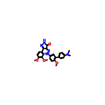 COc1ccc(C2=NNC(=O)/C2=N/Nc2ccc(OC)c(-c3ccc(N(C)C)cc3)c2)cc1OC